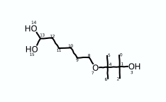 CC(C)(O)C(C)(C)OCCCCCC(O)O